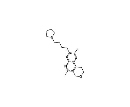 Cc1cc2c3c(c(C)nc2cc1CCCCN1CCCC1)COCC3